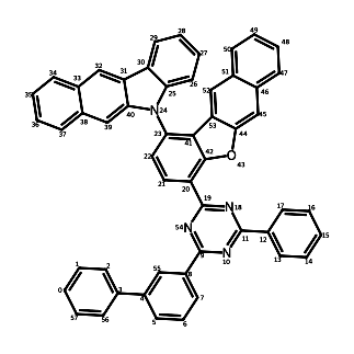 c1ccc(-c2cccc(-c3nc(-c4ccccc4)nc(-c4ccc(-n5c6ccccc6c6cc7ccccc7cc65)c5c4oc4cc6ccccc6cc45)n3)c2)cc1